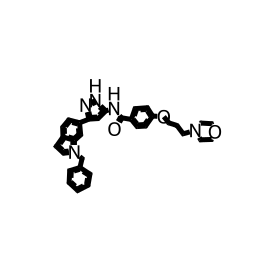 O=C(Nc1cc(-c2ccc3ccn(Cc4ccccc4)c3c2)n[nH]1)c1ccc(OCCCN2CCOCC2)cc1